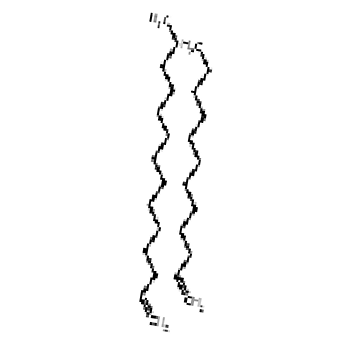 C=CCCCCCCCCCC.C=CCCCCCCCCCCCC